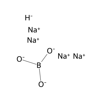 [H-].[Na+].[Na+].[Na+].[Na+].[O-]B([O-])[O-]